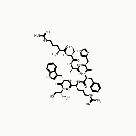 C[C@@H](NC(=O)[C@H](CS)NC(=O)[C@@H](N)CCCNC(=N)N)C(=O)N[C@@H](Cc1c[nH]cn1)C(=O)N[C@@H](Cc1ccccc1)C(=O)N[C@@H](CCCNC(=N)N)C(=O)N[C@@H](Cc1c[nH]c2ccccc12)C(=O)N[C@@H](CS)C(=O)O